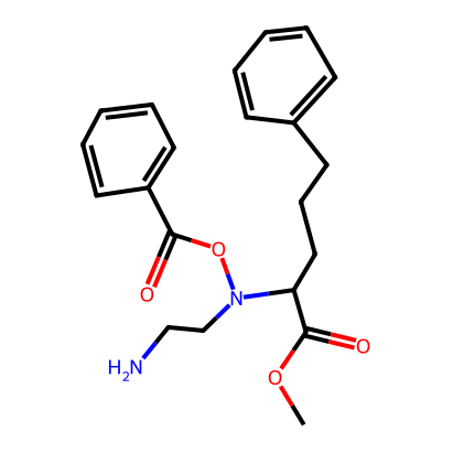 COC(=O)C(CCCc1ccccc1)N(CCN)OC(=O)c1ccccc1